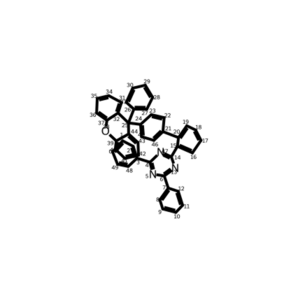 c1ccc(-c2nc(-c3ccccc3)nc(-c3ccccc3-c3ccc(C4(c5ccccc5)c5ccccc5Oc5ccccc54)cc3)n2)cc1